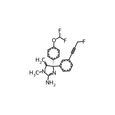 C=C1N(C)C(N)=N[C@]1(c1ccc(OC(F)F)cc1)c1cccc(C#CCF)c1